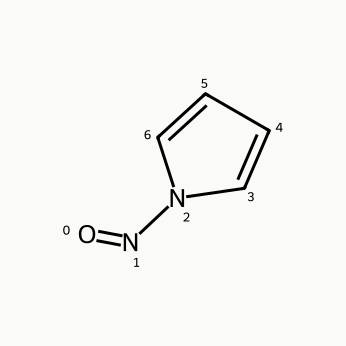 O=Nn1cccc1